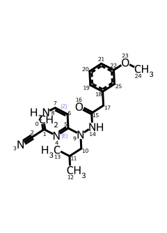 C=C(C#N)/N=C(\C=C/N)N(CC(C)C)NC(=O)Cc1cccc(OC)c1